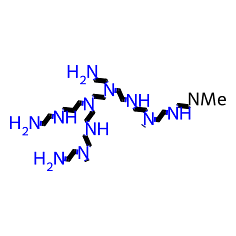 CNCCNCCN(C)CCNCCN(CCN)CCN(CCCNCCN)CCNCCN(C)CCN